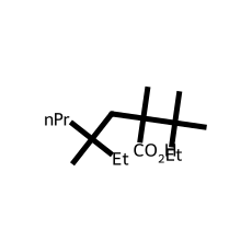 CCCC(C)(CC)CC(C)(C(=O)O)C(C)(C)CC